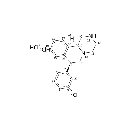 Cl.Cl.Clc1cccc([C@@H]2CN3CCNC[C@@H]3c3ccccc32)c1